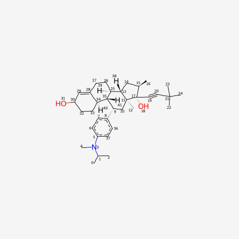 CC(C)N(C)c1ccc([C@H]2C[C@@]3(C)[C@@H](C[C@@H](C)[C@@]3(O)C#CC(C)(C)C)[C@@H]3CCC4=CC(O)CC[C@@H]4[C@H]32)cc1